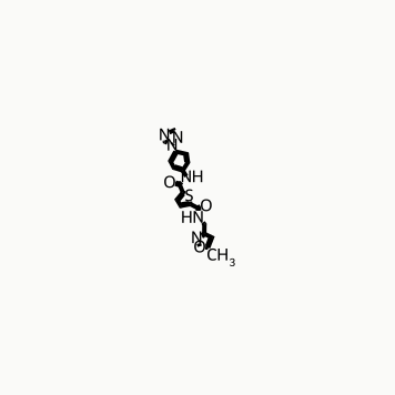 Cc1cc(CNC(=O)c2ccc(C(=O)Nc3ccc(-n4cncn4)cc3)s2)no1